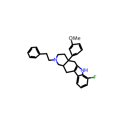 COc1cccc(C23CCN(CCc4ccccc4)CC2Cc2c([nH]c4c(F)cccc24)C3)c1